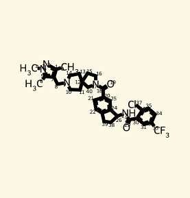 Cc1nn(C)c(C)c1CN1CCC2(CC1)CCN(C(=O)c1ccc3c(c1)C(NC(=O)c1cc(C(F)(F)F)ccc1Cl)CC3)C2